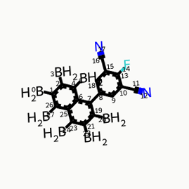 Bc1c(B)c(B)c2c(-c3cc(C#N)c(F)c(C#N)c3)c(B)c(B)c(B)c2c1B